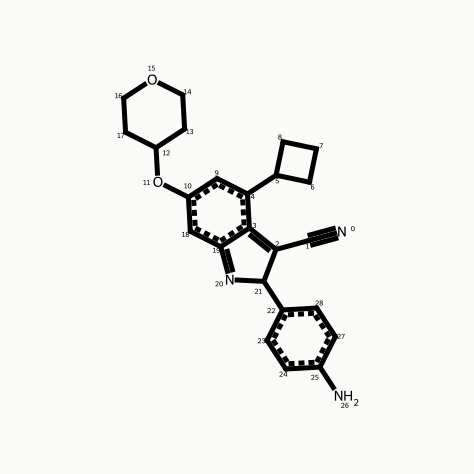 N#CC1=c2c(C3CCC3)cc(OC3CCOCC3)cc2=NC1c1ccc(N)cc1